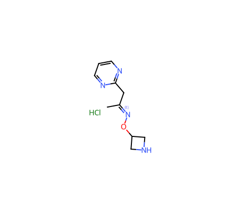 C/C(Cc1ncccn1)=N\OC1CNC1.Cl